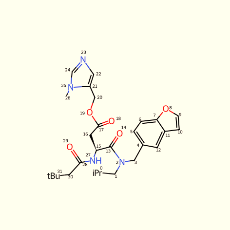 CC(C)CN(Cc1ccc2occc2c1)C(=O)[C@H](CC(=O)OCc1cncn1C)NC(=O)CC(C)(C)C